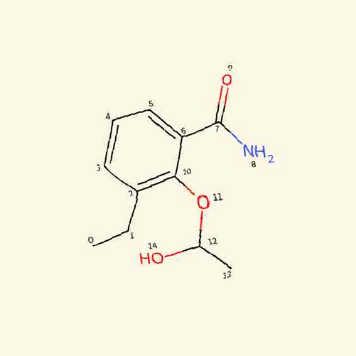 CCc1cccc(C(N)=O)c1OC(C)O